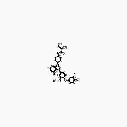 COc1cc(-c2nn(C3CCC(NC(=O)C(C#N)=CC(C)(C)C)CC3)c3ncnc(N)c23)ccc1Oc1ccc(Cl)c(Cl)c1